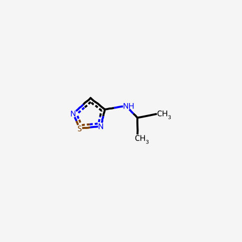 CC(C)Nc1cnsn1